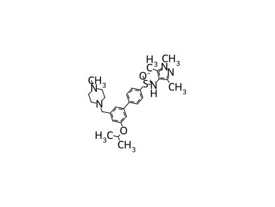 Cc1nn(C)c(C)c1N[S+]([O-])c1ccc(-c2cc(CN3CCN(C)CC3)cc(OC(C)C)c2)cc1